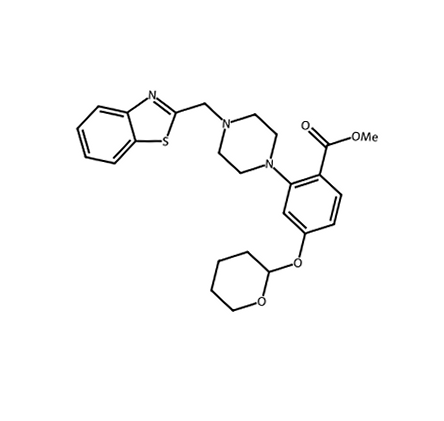 COC(=O)c1ccc(OC2CCCCO2)cc1N1CCN(Cc2nc3ccccc3s2)CC1